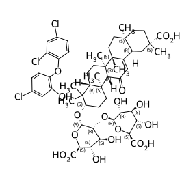 CC1(C)[C@@H](O[C@H]2O[C@H](C(=O)O)[C@@H](O)[C@H](O)[C@H]2O[C@@H]2O[C@H](C(=O)O)[C@@H](O)[C@H](O)[C@H]2O)CC[C@]2(C)[C@H]3C(=O)C=C4[C@@H]5C[C@@](C)(C(=O)O)CC[C@]5(C)CC[C@@]4(C)[C@]3(C)CC[C@@H]12.Oc1cc(Cl)ccc1Oc1ccc(Cl)cc1Cl